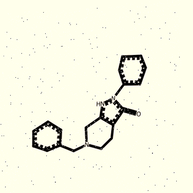 O=c1c2c([nH]n1-c1ccccc1)CN(Cc1ccccc1)CC2